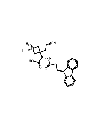 C=CCC1([C@H](NC(=O)OCC2c3ccccc3-c3ccccc32)C(=O)O)C[N+](C)(C)C1